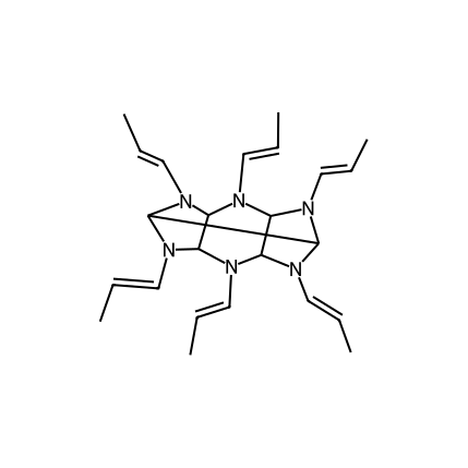 C/C=C/N1C2C3N(/C=C/C)C1C1N(/C=C/C)C(C(N1/C=C/C)N3/C=C/C)N2/C=C/C